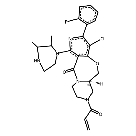 C=CC(=O)N1CCN2C(=O)c3c(N4CCNC(C)C4C)nc(-c4ccccc4F)c(Cl)c3OC[C@H]2C1